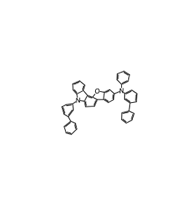 c1ccc(-c2cccc(N(c3ccccc3)c3ccc4c(c3)oc3c4ccc4c3c3ccccc3n4-c3cccc(-c4ccccc4)c3)c2)cc1